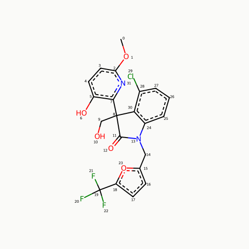 COc1ccc(O)c(C2(CO)C(=O)N(Cc3ccc(C(F)(F)F)o3)c3cccc(Cl)c32)n1